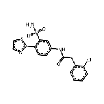 NS(=O)(=O)c1cc(NC(=O)Cc2ccccc2Cl)ccc1-c1nccs1